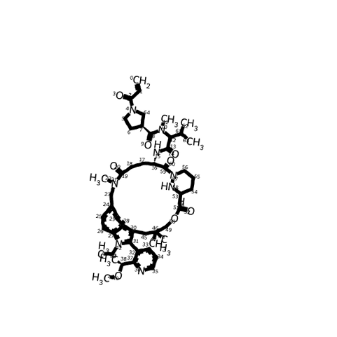 C=CC(=O)N1CC[C@H](C(=O)N(C)C(C(=O)N[C@H]2CCC(=O)N(C)Cc3ccc4c(c3)c(c(-c3cccnc3[C@H](C)OC)n4CC)CC(C)(C)COC(=O)[C@@H]3CCCN(N3)C2=O)C(C)C)C1